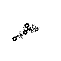 CC(C)(C(=O)Nc1nncs1)C1c2ccccc2Oc2cc(NC(=O)OCc3ccccc3)ccc21